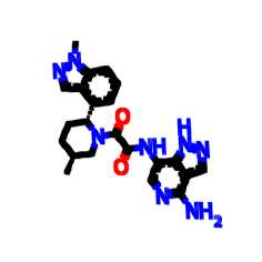 C[C@H]1CC[C@H](c2cccc3c2cnn3C)N(C(=O)C(=O)Nc2cnc(N)c3cn[nH]c23)C1